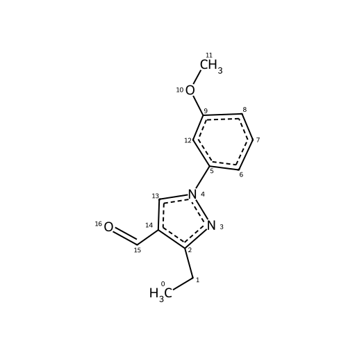 CCc1nn(-c2cccc(OC)c2)cc1C=O